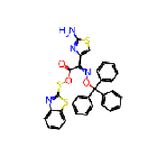 Nc1nc(C(=NOC(c2ccccc2)(c2ccccc2)c2ccccc2)C(=O)OSc2nc3ccccc3s2)cs1